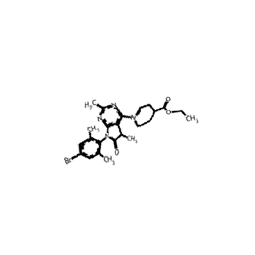 CCOC(=O)C1CCN(c2nc(C)nc3c2C(C)C(=O)N3c2c(C)cc(Br)cc2C)CC1